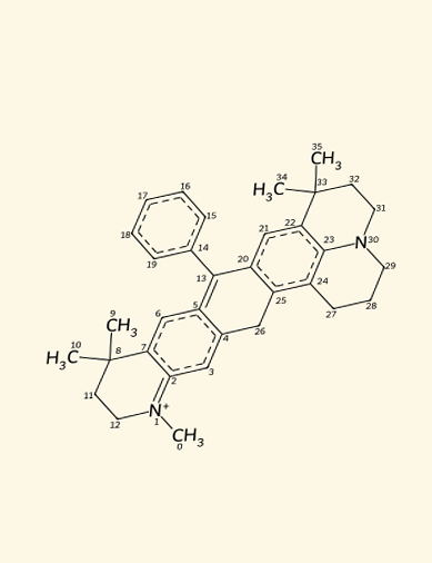 C[N+]1=c2cc3c(cc2C(C)(C)CC1)=C(c1ccccc1)c1cc2c4c(c1C3)CCCN4CCC2(C)C